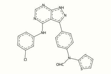 O=CN(c1ccc(-c2n[nH]c3ncnc(Nc4cccc(Cl)c4)c23)cc1)c1cccs1